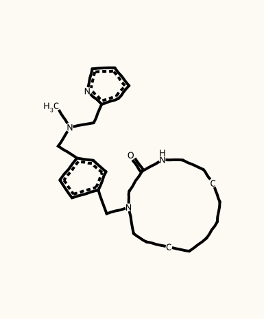 CN(Cc1ccc(CN2CCCCCCCCCCNC(=O)C2)cc1)Cc1ccccn1